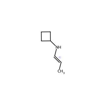 C/C=C/NC1CCC1